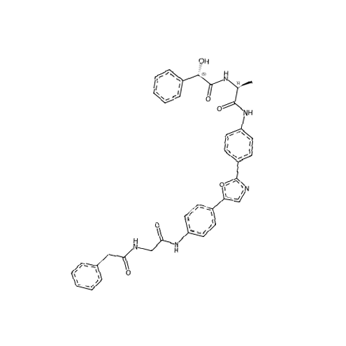 C[C@H](NC(=O)[C@@H](O)c1ccccc1)C(=O)Nc1ccc(-c2ncc(-c3ccc(NC(=O)CNC(=O)Cc4ccccc4)cc3)o2)cc1